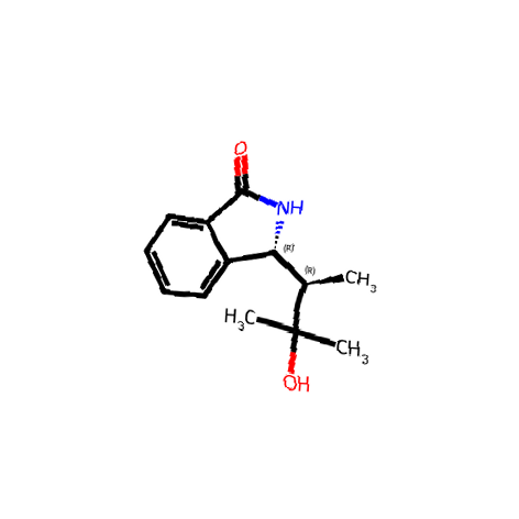 C[C@H]([C@H]1NC(=O)c2ccccc21)C(C)(C)O